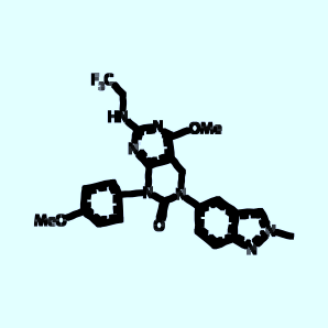 COc1ccc(N2C(=O)N(c3ccc4nn(C)cc4c3)Cc3c(OC)nc(NCC(F)(F)F)nc32)cc1